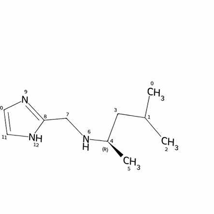 CC(C)C[C@@H](C)NCc1ncc[nH]1